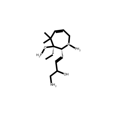 CC[C@@]1(OP)[C@@H](C=CC(O)CN)N(P)CC=CC1(C)C